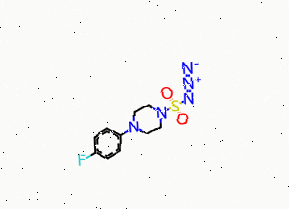 [N-]=[N+]=NS(=O)(=O)N1CCN(c2ccc(F)cc2)CC1